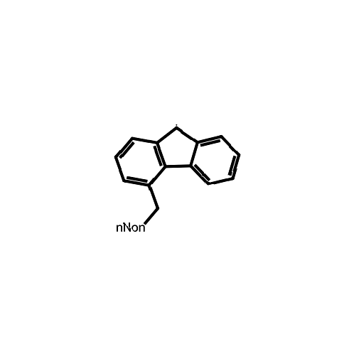 CCCCCCCCCCc1cccc2c1-c1ccccc1[CH]2